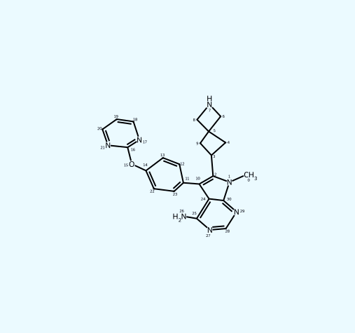 Cn1c(C2CC3(CNC3)C2)c(-c2ccc(Oc3ncccn3)cc2)c2c(N)ncnc21